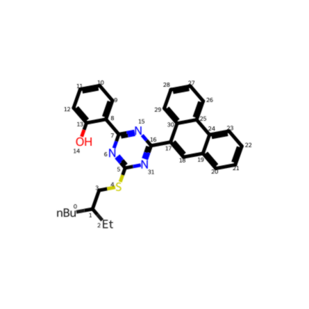 CCCCC(CC)CSc1nc(-c2ccccc2O)nc(-c2cc3ccccc3c3ccccc23)n1